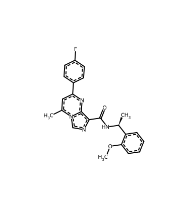 COc1ccccc1[C@H](C)NC(=O)c1ncn2c(C)cc(-c3ccc(F)cc3)nc12